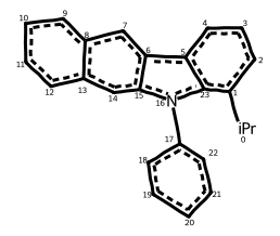 CC(C)c1cccc2c3cc4ccccc4cc3n(-c3ccccc3)c12